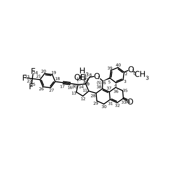 COc1ccc([C@@H]2OC[C@@]3(C)C(CC[C@@]3(O)C#Cc3ccc(C(F)(F)F)cc3)C3CCC4=CC(=O)CCC4=C32)cc1